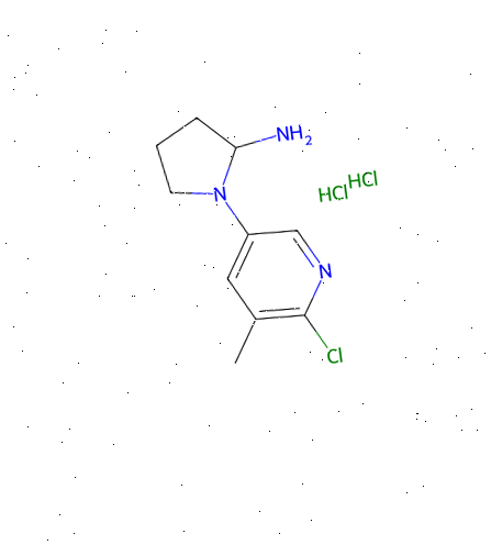 Cc1cc(N2CCCC2N)cnc1Cl.Cl.Cl